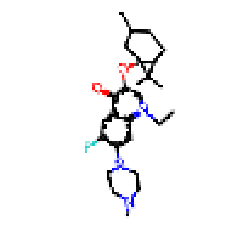 CCn1cc(OC23CC(C)CCC2C3(C)C)c(=O)c2cc(F)c(N3CCN(C)CC3)cc21